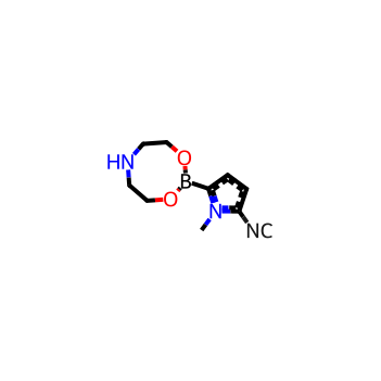 [C-]#[N+]c1ccc(B2OCCNCCO2)n1C